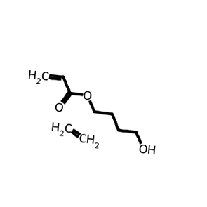 C=C.C=CC(=O)OCCCCO